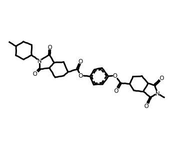 CC1CCC(N2C(=O)C3CCC(C(=O)Oc4ccc(OC(=O)C5CCC6C(=O)N(C)C(=O)C6C5)cc4)CC3C2=O)CC1